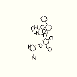 CC1C(c2ccccc2)=CC=CC1(COc1cc(OCc2cncc(C#N)c2)c(C=O)cc1Cl)OCCN1CCOCC1